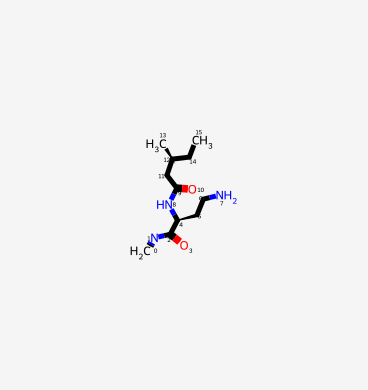 C=NC(=O)[C@H](CCN)NC(=O)C[C@@H](C)CC